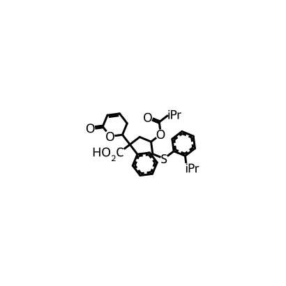 CC(C)C(=O)OC(CSc1ccccc1C(C)C)CC(C(=O)O)(c1ccccc1)C1CC=CC(=O)O1